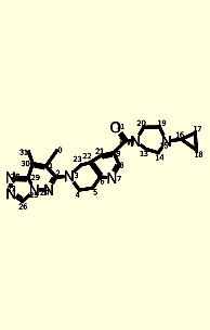 Cc1c(N2CCc3ncc(C(=O)N4CCN(C5CC5)CC4)cc3C2)nn2cnnc2c1C